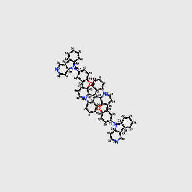 c1ccc([Si](c2ccccc2)(c2nccc3c2oc2ccc(-n4c5ccccc5c5cnccc54)cc23)c2nccc3c2oc2ccc(-n4c5ccccc5c5cnccc54)cc23)cc1